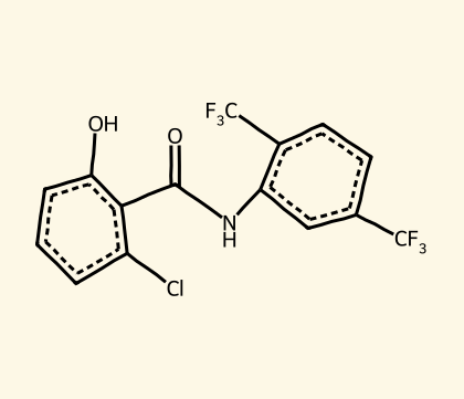 O=C(Nc1cc(C(F)(F)F)ccc1C(F)(F)F)c1c(O)cccc1Cl